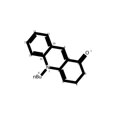 CCCCN1C2=CCCC(=O)C2=Cc2ccccc21